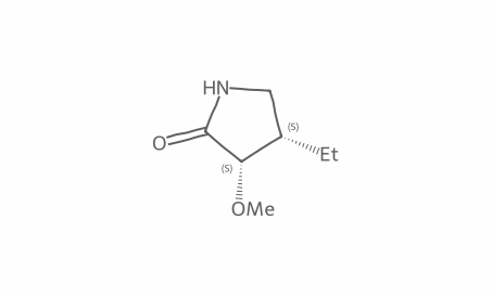 CC[C@H]1CNC(=O)[C@H]1OC